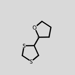 C1CO[C](C2CSCS2)C1